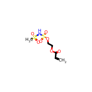 C=CC(=O)OCCOS(=O)(=O)NS(C)(=O)=O